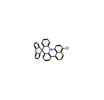 Brc1ccc2c3c(cccc13)-c1cccc3c1N2c1ccccc1C31c2ccccc2-c2ccccc21